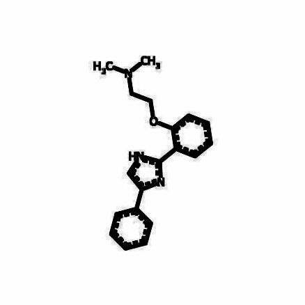 CN(C)CCOc1ccccc1-c1nc(-c2ccccc2)c[nH]1